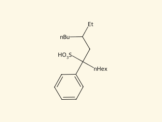 CCCCCCC(CC(CC)CCCC)(c1ccccc1)S(=O)(=O)O